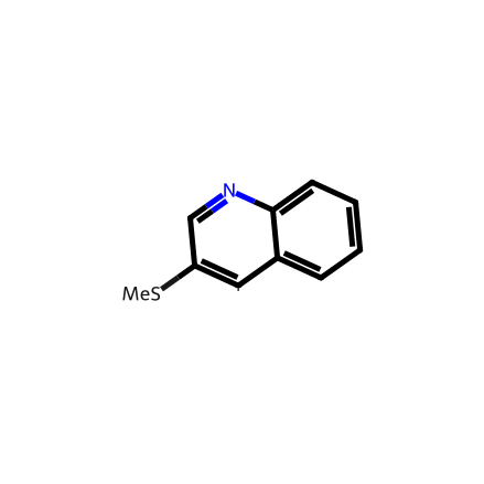 CSc1[c]c2ccccc2nc1